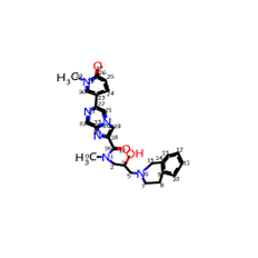 CN(CC(O)CN1CCc2ccccc2C1)C(=O)c1cn2cc(-c3ccc(=O)n(C)c3)ncc2n1